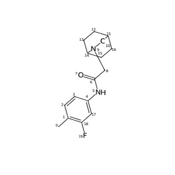 Cc1ccc(NC(=O)CN2CC3CCC2CC3)cc1F